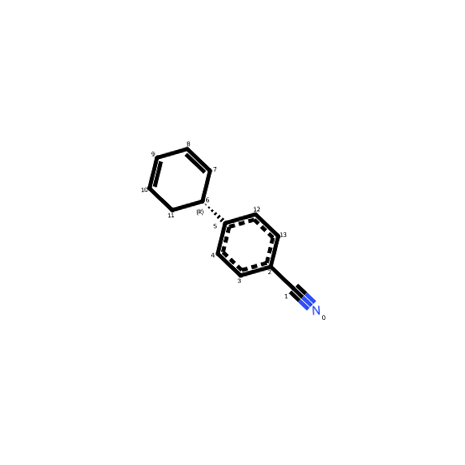 N#Cc1ccc([C@H]2C=CC=CC2)cc1